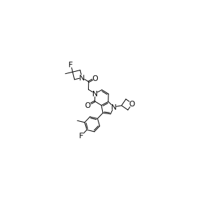 Cc1cc(-c2cn(C3COC3)c3ccn(CC(=O)N4CC(C)(F)C4)c(=O)c23)ccc1F